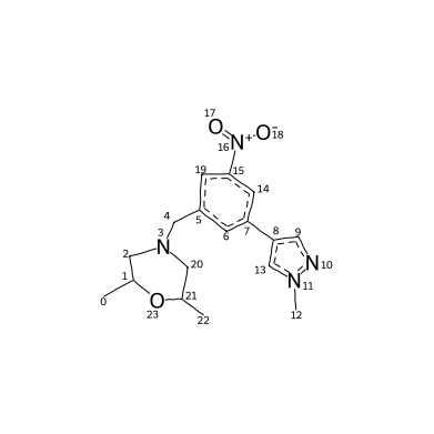 CC1CN(Cc2cc(-c3cnn(C)c3)cc([N+](=O)[O-])c2)CC(C)O1